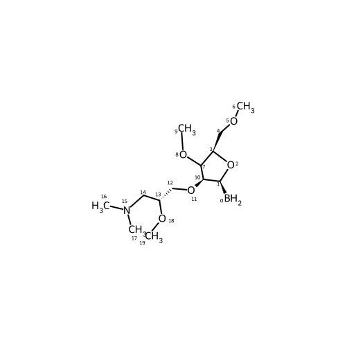 B[C@@H]1O[C@H](COC)C(OC)[C@@H]1OC[C@@H](CN(C)C)OC